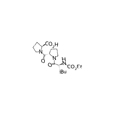 CCOC(=O)N[C@H](C(=O)N1CCC[C@H]1C(=O)N1CCC[C@H]1C(=O)O)[C@@H](C)CC